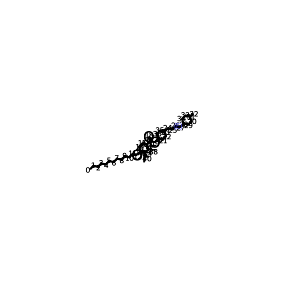 CCCCCCCCCCCCOc1ccc(C(=O)Oc2ccc(CC/C=C/C3CCC(C)CC3)cc2)c(F)c1F